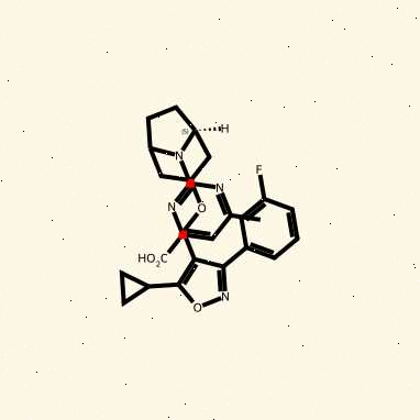 Cc1cc(C(=O)O)nc(N2C3CC[C@H]2CC(OCc2c(-c4cccc(F)c4)noc2C2CC2)C3)n1